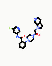 O=C(Nc1cncc(F)c1)c1ccccc1N1CCN(C(=O)Cn2ccc3ccncc32)CC1